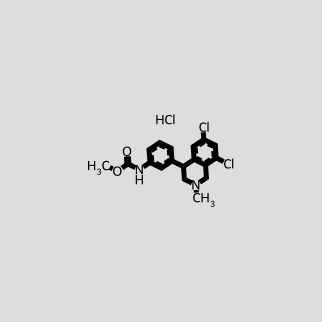 COC(=O)Nc1cccc(C2CN(C)Cc3c(Cl)cc(Cl)cc32)c1.Cl